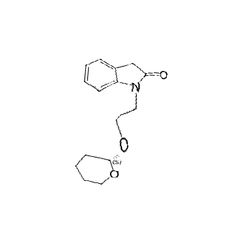 O=C1Cc2ccccc2N1CCO[C@H]1CCCCO1